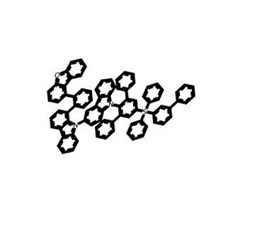 c1ccc(-c2cccc([Si](c3ccccc3)(c3ccccc3)c3cc(-c4ccccc4)c(-n4c5ccccc5c5cc(-n6c7ccccc7c7cccc(-c8ccccc8-c8cccc9oc%10ccccc%10c89)c76)ccc54)c(-c4ccccc4)c3)c2)cc1